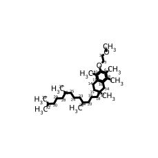 COCCOc1c(C)c(C)c2c(c1C)CC[C@@](C)(CCC[C@H](C)CCC[C@H](C)CCCC(C)C)C2